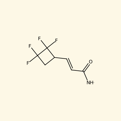 [NH]C(=O)/C=C/C1CC(F)(F)C1(F)F